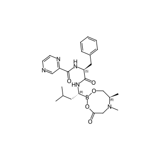 CC(C)C[C@H](NC(=O)[C@H](Cc1ccccc1)NC(=O)c1cnccn1)B1OC[C@@H](C)N(C)CC(=O)O1